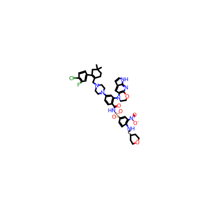 CC1(C)CCC(CN2CCN(c3ccc(C(=O)NS(=O)(=O)c4ccc(NCC5CCOCC5)c([N+](=O)[O-])c4)c(N4CCOc5nc6[nH]ccc6cc54)c3)CC2)=C(c2ccc(Cl)c(F)c2)C1